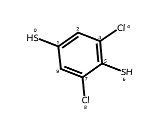 Sc1cc(Cl)c(S)c(Cl)c1